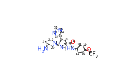 NC12CC1CN(c1ncc(C(=O)Nc3ccc(OC(F)(F)F)cc3)cc1-c1cncnc1)C2